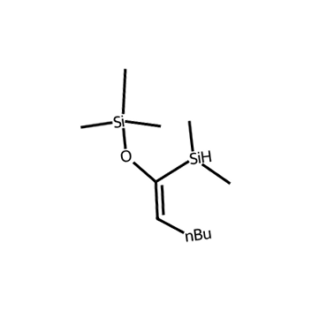 CCCCC=C(O[Si](C)(C)C)[SiH](C)C